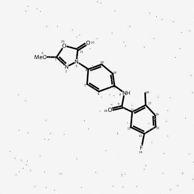 COc1nn(-c2ccc(NC(=O)c3cc(F)ccc3C)cc2)c(=O)o1